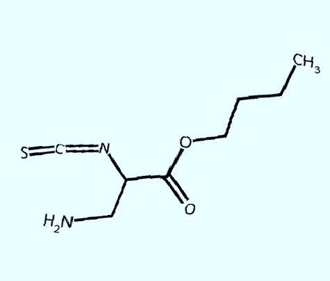 CCCCOC(=O)C(CN)N=C=S